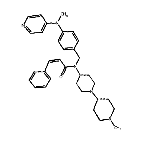 CN1CCC(N2CCC(N(Cc3ccc(N(C)c4ccncc4)cc3)C(=O)C=Cc3ccccc3)CC2)CC1